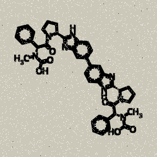 CN(C(=O)O)[C@@H](C(=O)N1CCC[C@H]1c1nc2cc(-c3ccc4[nH]c([C@@H]5CCCN5C(=O)[C@@H](c5ccccc5)N(C)C(=O)O)nc4c3)ccc2[nH]1)c1ccccc1